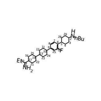 CCCCNC1CCC(c2ccc(C3CCC(C4CCC(C(N)CC)CC4)CC3)cc2F)CC1